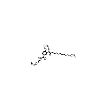 CCCCCCCCCCCC(=O)Nc1cc(C(=O)NCCCC)ccc1SCC